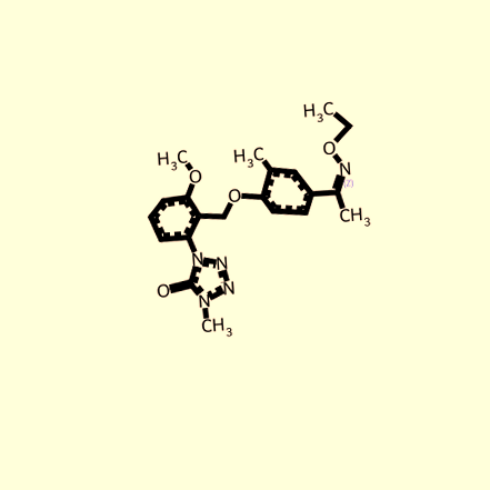 CCO/N=C(/C)c1ccc(OCc2c(OC)cccc2-n2nnn(C)c2=O)c(C)c1